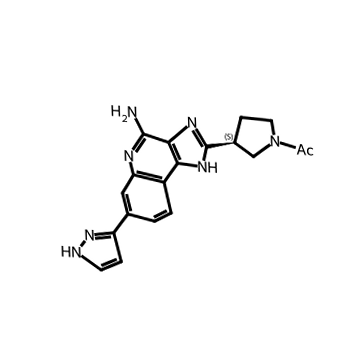 CC(=O)N1CC[C@H](c2nc3c(N)nc4cc(-c5cc[nH]n5)ccc4c3[nH]2)C1